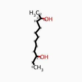 CCC(O)CCCCCCCC(C)O